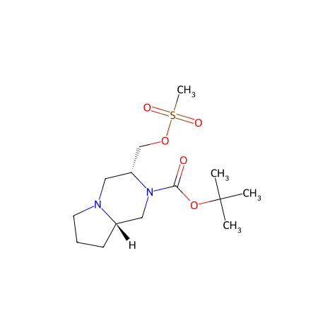 CC(C)(C)OC(=O)N1C[C@@H]2CCCN2C[C@@H]1COS(C)(=O)=O